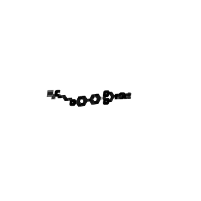 C=CCCCOc1ccc(-c2ccc([C@H]3OC[C@H](CCCCCCCC)CO3)cc2)cc1